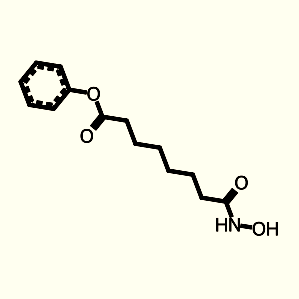 O=C(CCCCCCC(=O)Oc1ccccc1)NO